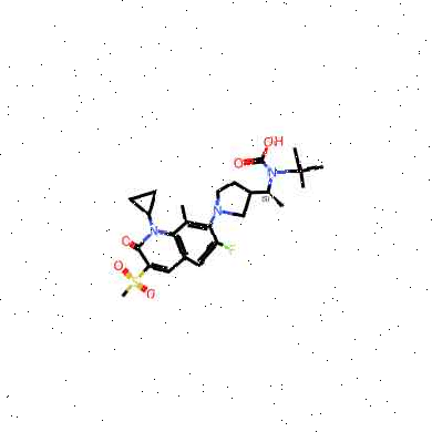 Cc1c(N2CCC([C@H](C)N(C(=O)O)C(C)(C)C)C2)c(F)cc2cc(S(C)(=O)=O)c(=O)n(C3CC3)c12